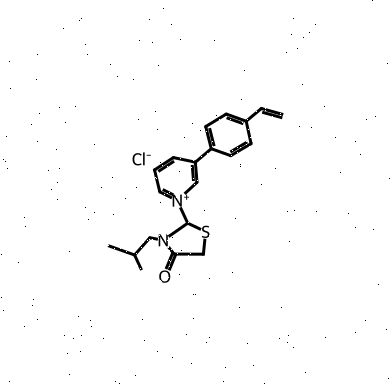 C=Cc1ccc(-c2ccc[n+](C3SCC(=O)N3CC(C)C)c2)cc1.[Cl-]